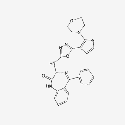 O=C1Nc2ccccc2C(c2ccccc2)=NC1Nc1nnc(-c2ccsc2N2CCOCC2)o1